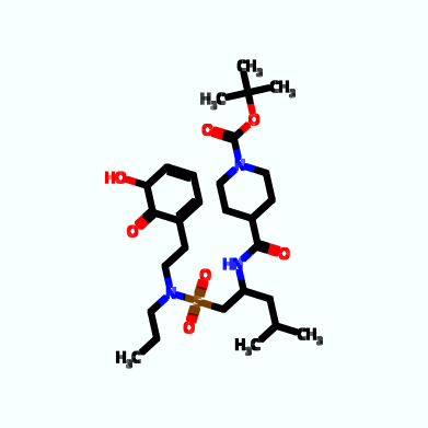 CCCN(CCC1=CC=CC(O)C1=O)S(=O)(=O)CC(CC(C)C)NC(=O)C1CCN(C(=O)OC(C)(C)C)CC1